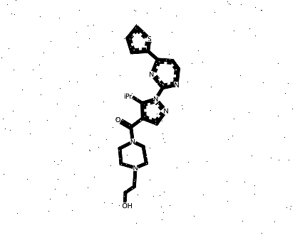 CC(C)c1c(C(=O)N2CCN(CCO)CC2)cnn1-c1nccc(-c2cccs2)n1